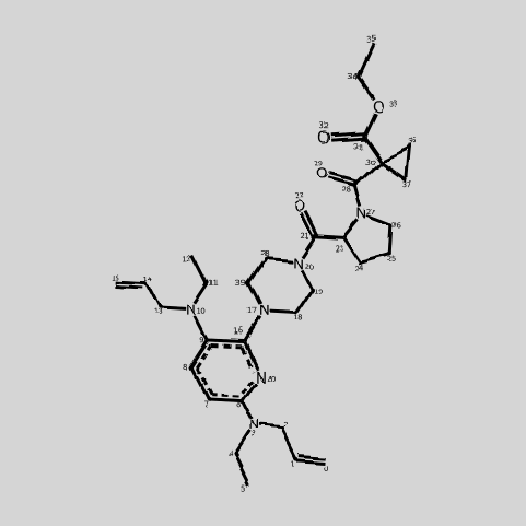 C=CCN(CC)c1ccc(N(CC)CC=C)c(N2CCN(C(=O)C3CCCN3C(=O)C3(C(=O)OCC)CC3)CC2)n1